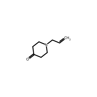 C=CCN1CCC(=O)CC1